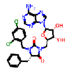 Nc1ncnc2c1ncn2[C@@H]1O[C@H](CN2C(=O)[C@H](Cc3ccccc3)N(Cc3ccc(Cl)cc3Cl)C2=O)[C@@H](O)[C@H]1O